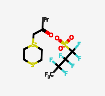 CC(C)C(=O)C[S+]1CCSCC1.O=S(=O)([O-])C(F)(F)C(F)(F)C(F)(F)C(F)(F)F